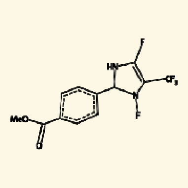 COC(=O)c1ccc(C2NC(F)=C(C(F)(F)F)N2F)cc1